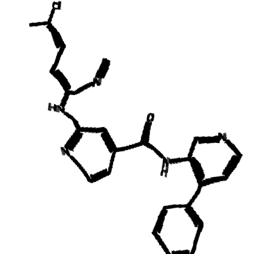 C=N/C(=C\C=C(/C)Cl)Nc1cc(C(=O)Nc2cnccc2-c2ccccc2)ccn1